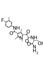 Cc1cc(NC(=O)c2c(C)c(C(=O)C(=O)NC(CO)C(N)=O)n(C)c2C)ccc1F